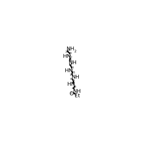 CCC(=O)NCCNCCNCCNCCNCCNCCN